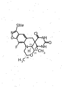 CSc1noc2c(F)c3c(cc12)CC1(C(=O)NC(=O)NC1=O)[C@H]1[C@H](C)O[C@H](C)CN31